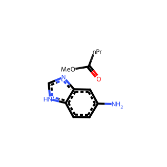 CCCC(=O)OC.Nc1ccc2[nH]cnc2c1